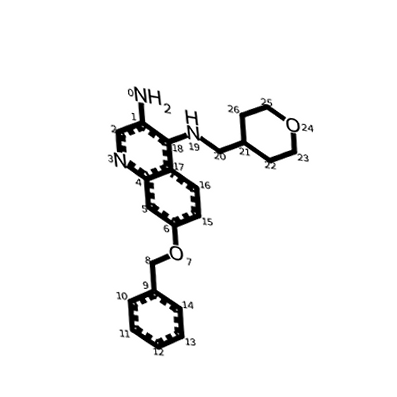 Nc1cnc2cc(OCc3ccccc3)ccc2c1NCC1CCOCC1